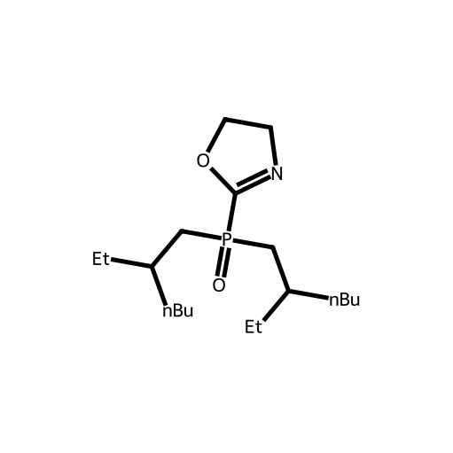 CCCCC(CC)CP(=O)(CC(CC)CCCC)C1=NCCO1